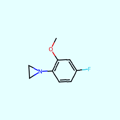 COc1cc(F)ccc1N1CC1